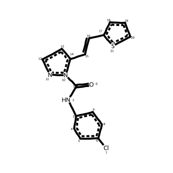 O=C(Nc1ccc(Cl)cc1)n1nccc1C=Cc1cccs1